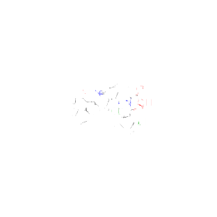 COc1ccc2ccccc2c1-c1ccc2cc(C[C@H](NC(=O)c3c(Cl)cccc3Cl)C(=O)O)ccc2n1